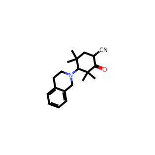 CC1(C)CC(C#N)C(=O)C(C)(C)C1N1CCc2ccccc2C1